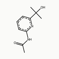 CC(=O)Nc1cccc(C(C)(C)O)n1